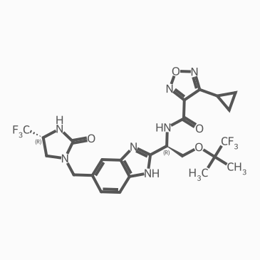 CC(C)(OC[C@H](NC(=O)c1nonc1C1CC1)c1nc2cc(CN3C[C@H](C(F)(F)F)NC3=O)ccc2[nH]1)C(F)(F)F